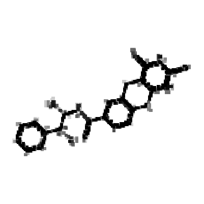 C[C@H](NC(=O)c1ccc2c(c1)Cc1c([nH]c(=O)[nH]c1=O)O2)[C@H](O)c1ccccc1